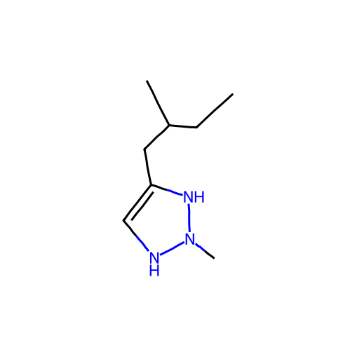 CCC(C)CC1=CNN(C)N1